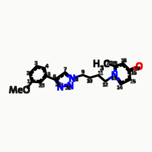 COc1cccc(-c2cn(CCCCn3ccc(=O)cc3C)nn2)c1